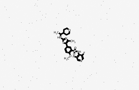 COc1ccc(-c2sc(NC(C)C3CCOCC3)nc2C)cc1S(=O)(=O)Nc1c(F)cncc1F